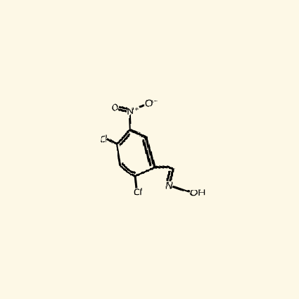 O=[N+]([O-])c1cc(C=NO)c(Cl)cc1Cl